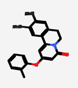 COc1cc2c(cc1OC)-c1cc(Oc3ccccc3C)cc(=O)n1CC2